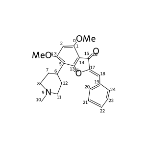 COc1cc(OC)c(C2CCN(C)CC2)c2c1C(=O)C(=Cc1ccccc1)O2